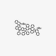 CCCCc1cc2ccccc2c2c1oc1c(N(c3ccccc3)c3ccc4c(c3)C(c3ccccc3)(c3ccccc3)c3cc(N(c5ccccc5)c5cccc6c5oc5c(CCCC)cc7ccccc7c56)c5ccccc5c3-4)cccc12